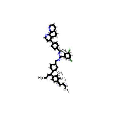 C=C/C=C(/c1ccc(C/N=C(\N=C(/C)c2ccc(-c3ccnc4c3ccc3cccnc34)cc2)c2cc(F)cc(F)c2)cc1)c1cc/c(=C/C=C\C)c(=C)c1C